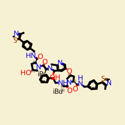 CC[C@H](C)[C@H](NCCc1ccccc1)C(=O)N1C[C@H](Oc2cnc3c(c2)C(O)N([C@H](C(=O)N2C[C@H](O)C[C@H]2C(=O)NCc2ccc(-c4scnc4C)cc2)C(C)C)C3)C[C@H]1C(=O)NCc1ccc(-c2scnc2C)cc1